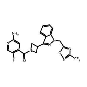 Nc1cc(C(=O)N2CC(c3nn(Cc4nc(C(F)(F)F)no4)c4ccccc34)C2)c(F)cn1